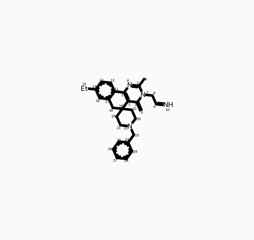 C=C1C2=C(N=C(C)N1CC=N)c1ccc(CC)cc1CC21CCN(Cc2ccccc2)CC1